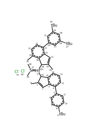 CC1=Cc2c(-c3ccc(C(C)(C)C)cc3)cccc2[CH]1[Hf+2]([CH]1C(C)=Cc2c(-c3cc(C(C)(C)C)cc(C(C)(C)C)c3)ccc(C)c21)=[Si](C)C.[Cl-].[Cl-]